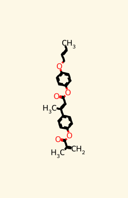 C=C(C)C(=O)Oc1ccc(/C(C)=C/C(=O)Oc2ccc(OC/C=C/C)cc2)cc1